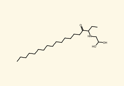 CCCCCCCCCCCCCCCC(=O)C(CC)NCC(O)O